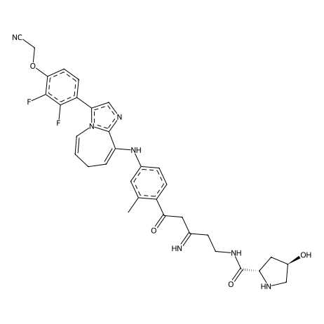 Cc1cc(NC2=CCC=Cn3c(-c4ccc(OCC#N)c(F)c4F)cnc32)ccc1C(=O)CC(=N)CCNC(=O)[C@@H]1C[C@@H](O)CN1